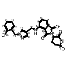 O=C1CCC(N2C(=O)c3cccc(NCc4cnn(Cc5ccccc5Cl)c4)c3C2=O)C(=O)N1